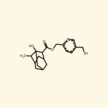 CC1C2CC3CC(C2)C(C(=O)OCc2ccc(CS)cn2)C1(O)C3